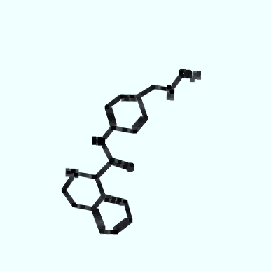 O=C(O)NCc1ccc(NC(=O)C2NCCc3ccccc32)cc1